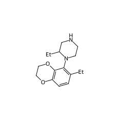 CCc1ccc2c(c1N1CCNCC1CC)OCCO2